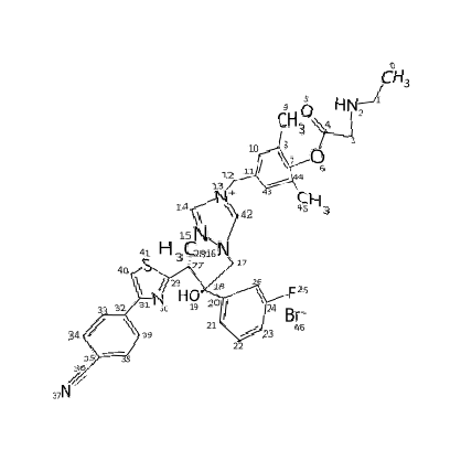 CCNCC(=O)Oc1c(C)cc(C[n+]2cnn(C[C@](O)(c3cccc(F)c3)[C@@H](C)c3nc(-c4ccc(C#N)cc4)cs3)c2)cc1C.[Br-]